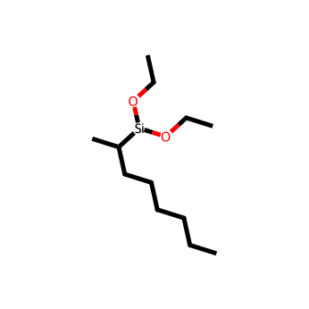 CCCCCCC(C)[Si](OCC)OCC